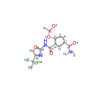 CC(=O)Oc1ccc(C(=O)N(C)C)cc1C(=O)Nc1nc(C(F)(F)F)co1